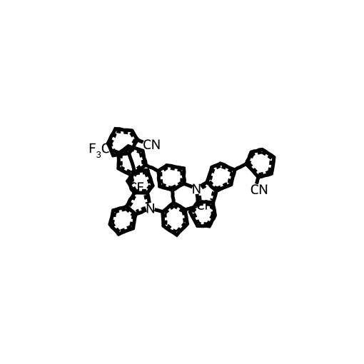 N#Cc1ccccc1-c1ccc2c(c1)c1ccccc1n2-c1ccc(-c2ccc(C(F)(F)F)cc2C(F)(F)F)cc1-c1c(C#N)cccc1-n1c2ccccc2c2cc(-c3ccccc3C#N)ccc21